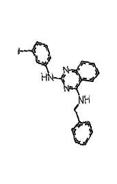 Ic1cccc(Nc2nc(NCc3ccccc3)c3ccccc3n2)c1